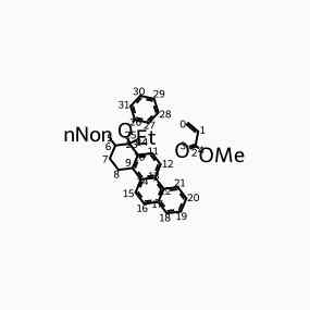 C=CC(=O)OC.CCCCCCCCCC1CCc2c(ccc3c2ccc2ccccc23)C1(CC)Oc1ccccc1